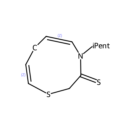 CCCC(C)N1/C=C\C/C=C\SCC1=S